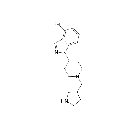 [2H]c1cccc2c1cnn2C1CCN(CC2CCNC2)CC1